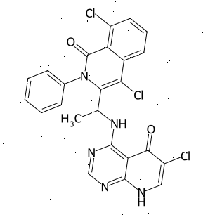 CC(Nc1ncnc2[nH]cc(Cl)c(=O)c12)c1c(Cl)c2cccc(Cl)c2c(=O)n1-c1ccccc1